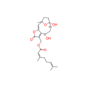 CC(C)=CCCC(C)=CC(=O)OCC1=C2C(=CC3(C)CCC(O)(O3)[C@H](C)C[C@@H]2O)OC1=O